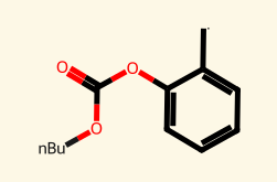 [CH2]c1ccccc1OC(=O)OCCCC